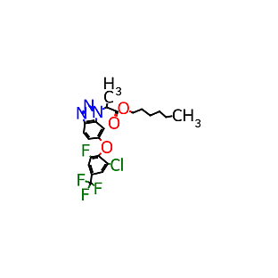 CCCCCCOC(=O)C(C)n1nnc2ccc(Oc3c(F)cc(C(F)(F)F)cc3Cl)cc21